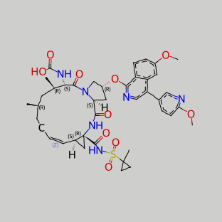 COc1ccc2c(O[C@@H]3C[C@H]4C(=O)N[C@]5(C(=O)NS(=O)(=O)C6(C)CC6)C[C@H]5/C=C\CC[C@@H](C)C[C@@H](C)[C@H](NC(=O)O)C(=O)N4C3)ncc(-c3ccc(OC)nc3)c2c1